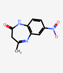 CC1=Nc2cc([N+](=O)[O-])ccc2NC(=O)C1